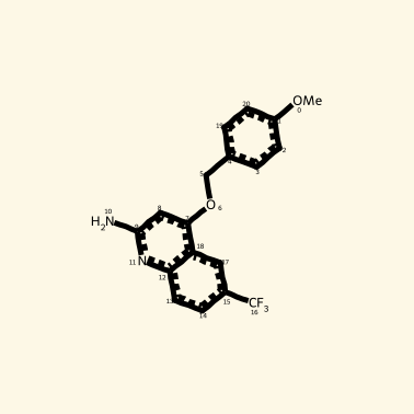 COc1ccc(COc2cc(N)nc3ccc(C(F)(F)F)cc23)cc1